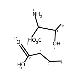 CC(O)C(N)C(=O)O.CCCC(=O)O